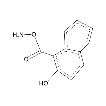 NOC(=O)c1c(O)ccc2ccccc12